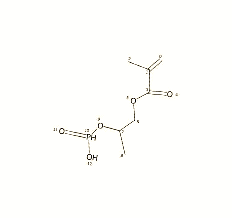 C=C(C)C(=O)OCC(C)O[PH](=O)O